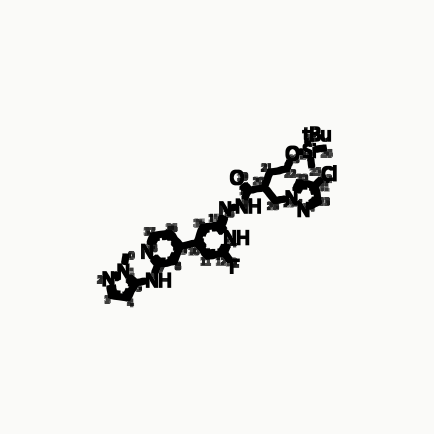 Cn1nccc1Nc1cc(-c2cc(F)[nH]c(=NNC(=O)C(CCO[Si](C)(C)C(C)(C)C)Cn3cc(Cl)cn3)c2)ccn1